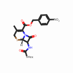 CCCCCCC(=O)NC1C(=O)N2C(C(=O)OCc3ccc([N+](=O)[O-])cc3)=C(C)CS[C@@H]12